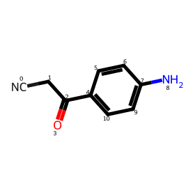 N#CCC(=O)c1ccc(N)cc1